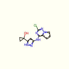 OC1(c2cc(Nc3nc(Cl)nn4cccc34)n[nH]2)CC1